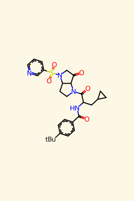 CC(C)(C)c1ccc(C(=O)NC(CC2CC2)C(=O)N2CCC3C2C(=O)CN3S(=O)(=O)c2cccnc2)cc1